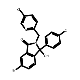 O=C1c2cc(Br)ccc2C(O)(c2ccc(Cl)cc2)N1Cc1ccc(Cl)cn1